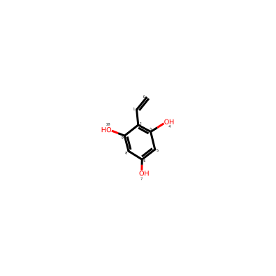 C=Cc1c(O)cc(O)cc1O